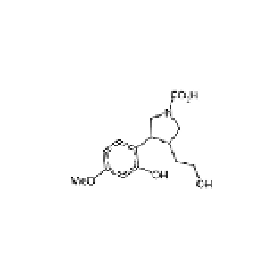 COc1ccc(C2CN(C(=O)O)CC2CCO)c(O)c1